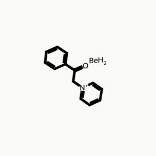 O=C(C[n+]1ccccc1)c1ccccc1.[BeH2]